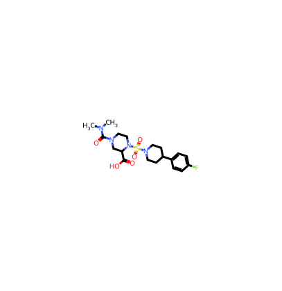 CN(C)C(=O)N1CCN(S(=O)(=O)N2CCC(c3ccc(F)cc3)CC2)C(C(=O)O)C1